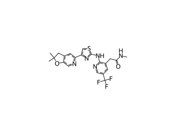 CNC(=O)Cc1cc(C(F)(F)F)cnc1Nc1nc(-c2cc3c(cn2)OC(C)(C)C3)cs1